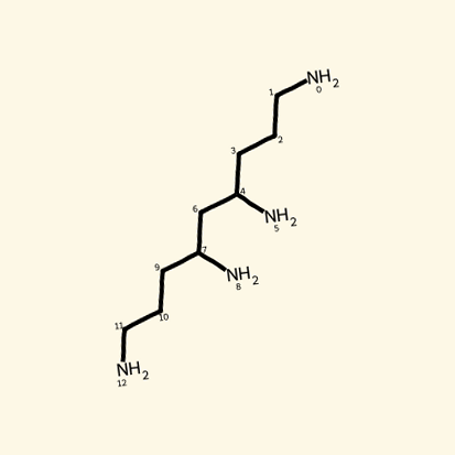 NCCCC(N)CC(N)CCCN